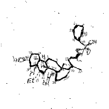 CC[C@H]1[C@@H](O)[C@@H]2[C@H](CC[C@]3(C)[C@@H]([C@H](C)CCOP(=O)(O)c4ccccc4)CC[C@@H]23)[C@@]2(C)CC[C@@H](O)C[C@@H]12